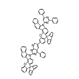 c1ccc(-c2cc(-n3c4ccc5c(c4c4ccc6ccccc6c43)Oc3cc(-c4cnc6nc(-n7c8ccc9c(c8c8ccc%10ccccc%10c87)Oc7ccccc7C97c8ccccc8-c8ccccc87)nc(-c7ccccc7)c6c4)ccc3C53c4ccccc4-c4ccccc43)nc(-c3ccccc3)n2)cc1